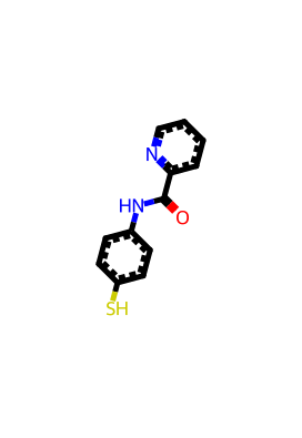 O=C(Nc1ccc(S)cc1)c1ccccn1